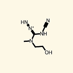 CN(CCO)C(=[N+]=N)NC#N